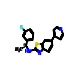 C[C@@H](Nc1nc2ccc(-c3ccncc3)cc2s1)c1cccc(F)c1